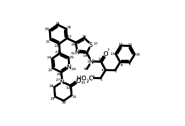 CN(C(=O)C(CC(=O)O)Cc1ccccc1)c1nc(-c2ccccc2-c2ccc(N3CCCCC3=O)nc2)cs1